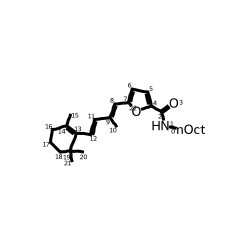 CCCCCCCCNC(=O)c1ccc(/C=C(C)/C=C/C2=C(C)CCCC2(C)C)o1